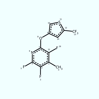 Cc1c(F)c(F)nc(Oc2csc(C(F)(F)F)c2)c1F